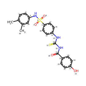 Cc1ccc(NS(=O)(=O)c2ccc(NC(=S)NC(=O)c3ccc(O)cc3)cc2)cc1C